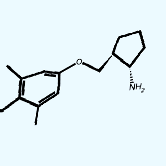 Cc1cc(OC[C@H]2CCC[C@@H]2N)cc(C)c1C